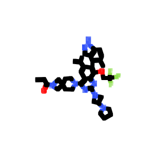 C=CC(=O)N1CC2(CCN(c3nc(N4CC(N5CCCC5)C4)nc4c(OCC(F)(F)F)c(-c5c(C)ccc6[nH]ncc56)c(C(=C)C)cc34)CC2)C1